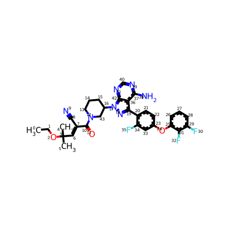 CCOC(C)(C)C=C(C#N)C(=O)N1CCCC(n2nc(-c3ccc(Oc4cccc(F)c4F)cc3F)c3c(N)ncnc32)C1